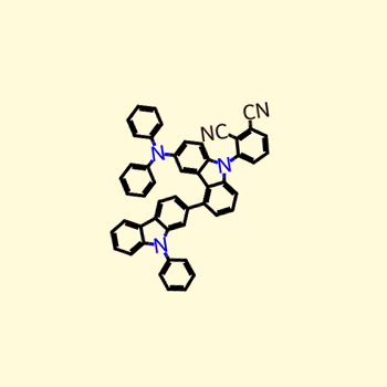 N#Cc1cccc(-n2c3ccc(N(c4ccccc4)c4ccccc4)cc3c3c(-c4ccc5c6ccccc6n(-c6ccccc6)c5c4)cccc32)c1C#N